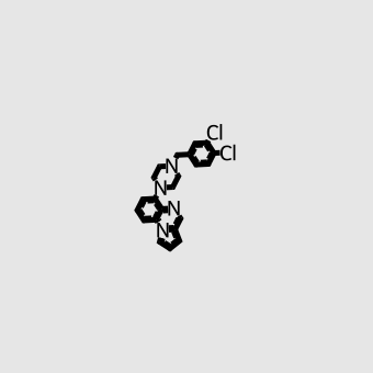 Clc1ccc(CN2CCN(c3cccc4c3ncc3cccn34)CC2)cc1Cl